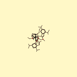 CCC[CH2][Ti]([CH2]CCC)([CH]1C(C)=Cc2c(C(C)C)cc(C(C)C)cc21)[Si]1([Ti]([CH2]CCC)([CH2]CCC)[CH]2C(C)=Cc3c(C(C)C)cc(C(C)C)cc32)CCCC1